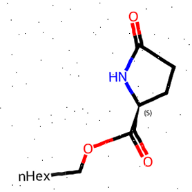 CCCCCCCOC(=O)[C@@H]1CCC(=O)N1